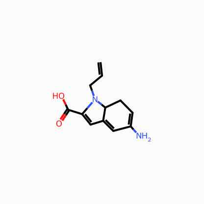 C=CCN1C(C(=O)O)=CC2=CC(N)=CCC21